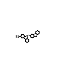 CCc1ccc2c(c1)c1ccccc1n2Cc1ccc2c(c1)-c1ccccc1C2